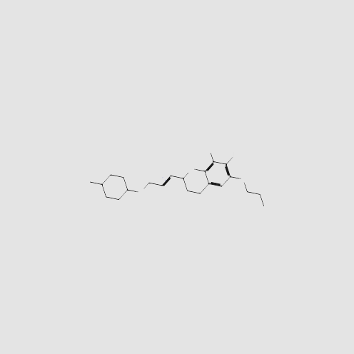 CCCOc1cc2c(c(F)c1F)OC(/C=C/COC1CCC(C)CC1)CC2